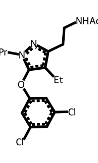 CCc1c(CCNC(C)=O)nn(C(C)C)c1Oc1cc(Cl)cc(Cl)c1